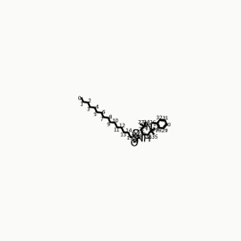 CCCCCCCCCCCCCCCCS(=O)(=O)NC1CC(C)(C)N(Cc2ccccc2)C(C)(C)C1